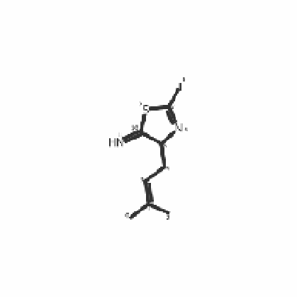 CC(C)=CCC1N=C(I)SC1=N